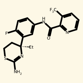 CC[C@@]1(c2cc(NC(=O)c3ncccc3C(F)(F)F)ccc2F)CCSC(N)=N1